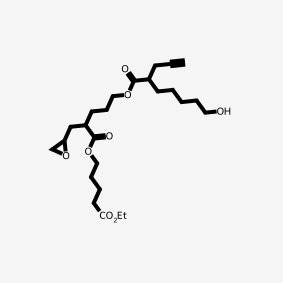 C#CCC(CCCCCO)C(=O)OCCCC(CC1CO1)C(=O)OCCCCC(=O)OCC